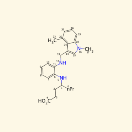 CCCC(CCC(=O)O)Nc1ccccc1NCc1cn(C)c2cccc(C)c12